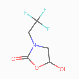 O=C1OC(O)CN1CC(F)(F)F